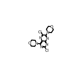 Clc1nc(N2CCOCC2)c2nc(Cl)c(N3CCOCC3)nc2n1